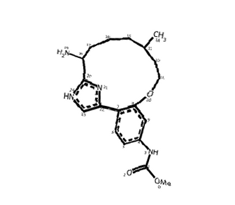 COC(=O)Nc1ccc2c(c1)OCCC(C)CCCC(N)c1nc-2c[nH]1